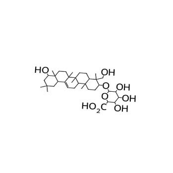 CC1(C)CC(O)C2(C)CCC3(C)C(=CCC4C5(C)CCC(OC6OC(C(=O)O)C(O)C(O)C6O)C(C)(CO)C5CCC43C)C2C1